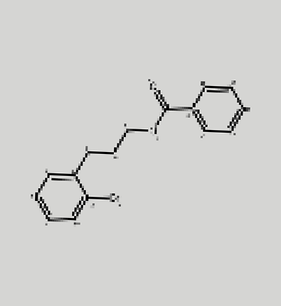 O=C(OCCCc1ccccc1Br)c1ccccc1